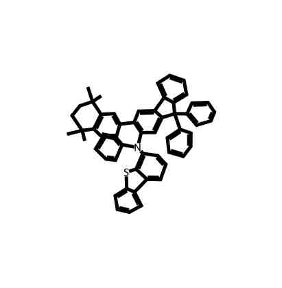 CC1(C)CCC(C)(C)c2cc(-c3cc4c(cc3N(c3ccccc3)c3cccc5c3sc3ccccc35)C(c3ccccc3)(c3ccccc3)c3ccccc3-4)ccc21